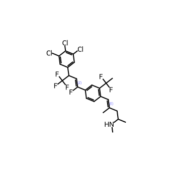 CNC(C)C/C(C)=C/c1ccc(/C(F)=C/C(c2cc(Cl)c(Cl)c(Cl)c2)C(F)(F)F)cc1C(C)(F)F